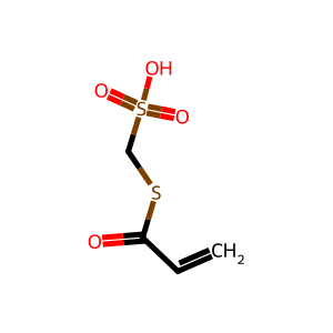 C=CC(=O)SCS(=O)(=O)O